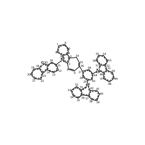 C1=Cc2c(c3ccccc3n2-c2ccc3c(c2)sc2ccccc23)CC=C1c1cc(-n2c3ccccc3c3ccccc32)cc(-n2c3ccccc3c3ccccc32)c1